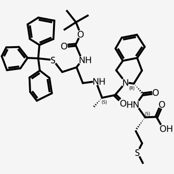 CSCC[C@H](NC(=O)[C@H]1Cc2ccccc2CN1C(=O)[C@H](C)NCC(CSC(c1ccccc1)(c1ccccc1)c1ccccc1)NC(=O)OC(C)(C)C)C(=O)O